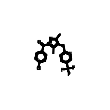 Cc1nn(C(=O)c2ccc(Cl)cc2)c(C)c1Sc1ccc(C(F)(F)F)cn1